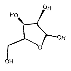 OCC1OC(O)[C@H](O)[C@@H]1O